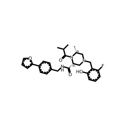 CC(C)C(=O)N1[C@H](C)CN(Cc2c(O)cccc2F)C[C@@H]1C(=O)NCc1ccc(-c2ccco2)cc1